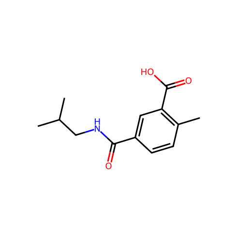 Cc1ccc(C(=O)NCC(C)C)cc1C(=O)O